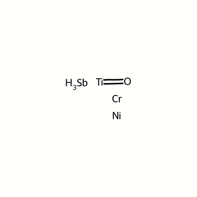 [Cr].[Ni].[O]=[Ti].[SbH3]